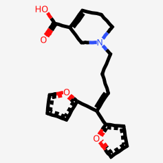 O=C(O)C1=CCCN(CCC=C(c2ccco2)c2ccco2)C1